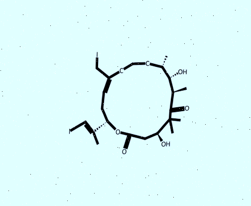 C/C(=C\I)[C@@H]1C/C=C(/CI)CCC[C@H](C)[C@H](O)[C@@H](C)C(=O)C(C)(C)[C@@H](O)CC(=O)O1